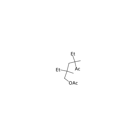 CCC(C)(COC(C)=O)CC(C)(CC)C(C)=O